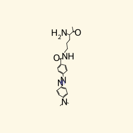 CC(=O)C(N)CCCCNC(=O)c1ccc(/N=N/c2ccc(N(C)C)cc2)cc1